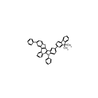 CC1(C)c2ccccc2-c2ccc(-c3ccc4c(c3)c3c5sc6ccc(-c7ccccc7)cc6c5c5ccccc5c3n4-c3ccccc3)cc21